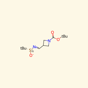 CC(C)(C)OC(=O)N1CC(C=N[S@+]([O-])C(C)(C)C)C1